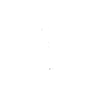 CCCCCCC=CC=CCCCCCCCCCC(=O)O